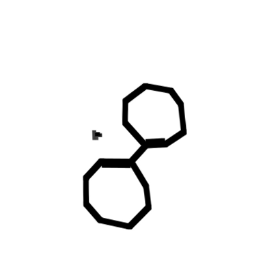 C1=C(C2=CCCCCCC2)CCCCCC1.[Ir]